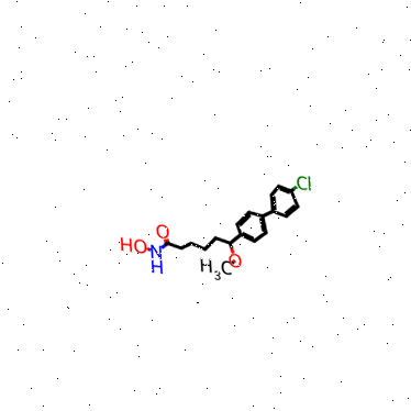 COC(CCCCC(=O)NO)c1ccc(-c2ccc(Cl)cc2)cc1